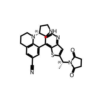 C[C@H](c1cc2nccc(-c3cc(C#N)cc4c3N([C@@H]3CCNC3)CCC4)c2s1)N1C(=O)CCC1=O